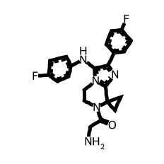 NCC(=O)N1CCn2c(nc(-c3ccc(F)cc3)c2Nc2ccc(F)cc2)C12CC2